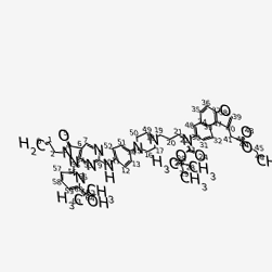 C=CCn1c(=O)c2cnc(Nc3ccc(N4CCN(CCCN(C(=O)OC(C)(C)C)c5ccc6c(ccc7occ(CC(=O)OCC)c76)c5)CC4)cc3)nc2n1-c1cccc(C(C)(C)O)n1